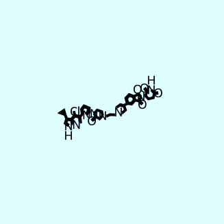 O=C1CCC(N2C(=O)c3ccc(C4=CCN(CCCN5CCN(c6cccc(-c7cnc8[nH]cc(C9CC9)c8c7Cl)n6)C(=O)C5)CC4)cc3C2=O)C(=O)N1